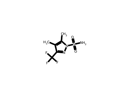 Cc1c(C(F)(F)F)nn(S(N)(=O)=O)c1C